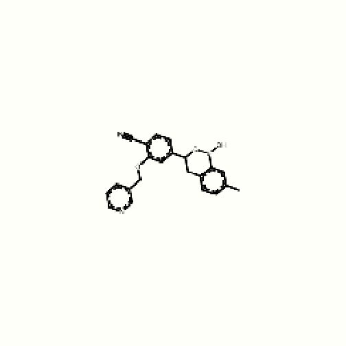 Cc1ccc2c(c1)B(O)OC(c1ccc(C#N)c(OCc3cccnc3)c1)C2